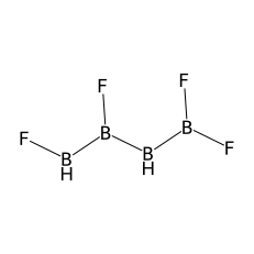 FBB(F)BB(F)F